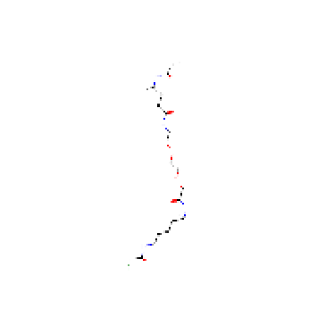 CCCC(=O)NC(CCC(=O)NCCOCCOCC(=O)N[C@@H](CCCCNC(=O)CBr)C(=O)O)C(=O)O